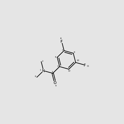 CN(C)C(=O)c1cc(F)cc(F)c1